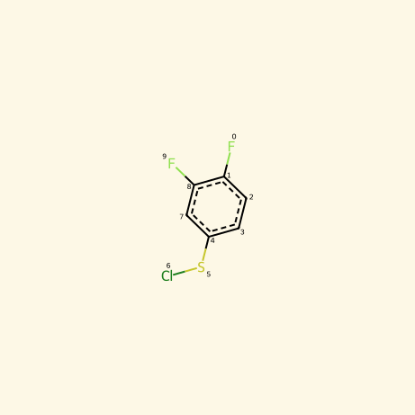 Fc1ccc(SCl)cc1F